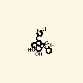 O=C1c2cc(Cc3ccc(Cl)nc3)c3cccnc3c2C(CC(O)CO)N1C1CCCC[C@@H]1O